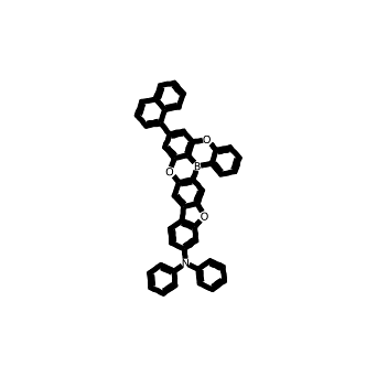 c1ccc(N(c2ccccc2)c2ccc3c(c2)oc2cc4c(cc23)Oc2cc(-c3cccc5ccccc35)cc3c2B4c2ccccc2O3)cc1